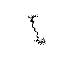 O=C(O)CCCCCCCCC(=O)NO